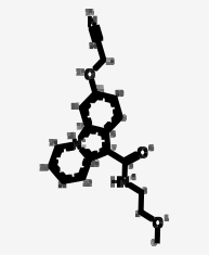 COCCNC(=O)c1c2ccc(OCC#N)cc2n2ccccc12